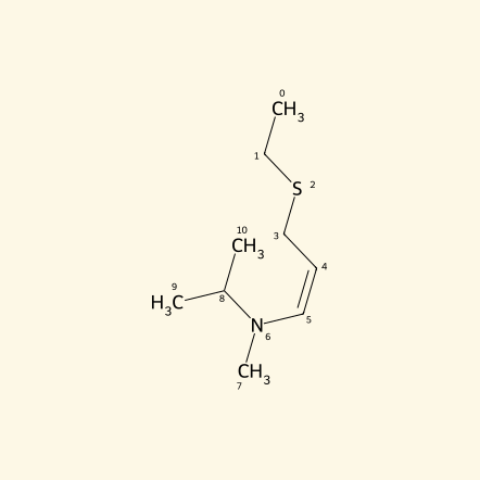 CCSC/C=C\N(C)C(C)C